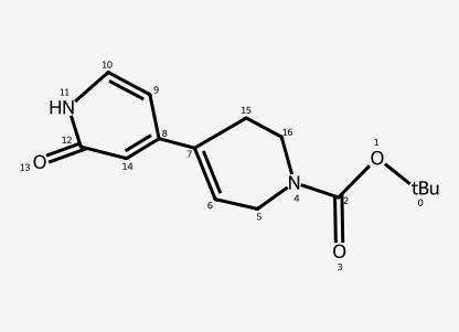 CC(C)(C)OC(=O)N1CC=C(c2cc[nH]c(=O)c2)CC1